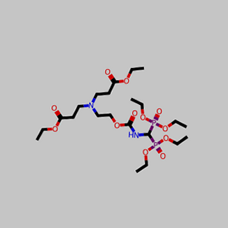 CCOC(=O)CCN(CCOC(=O)NC(P(=O)(OCC)OCC)P(=O)(OCC)OCC)CCC(=O)OCC